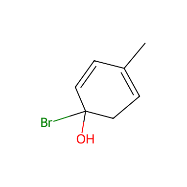 CC1=CCC(O)(Br)C=C1